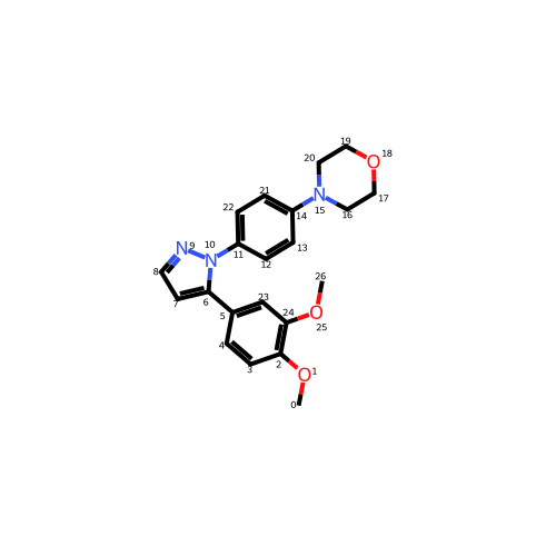 COc1ccc(-c2ccnn2-c2ccc(N3CCOCC3)cc2)cc1OC